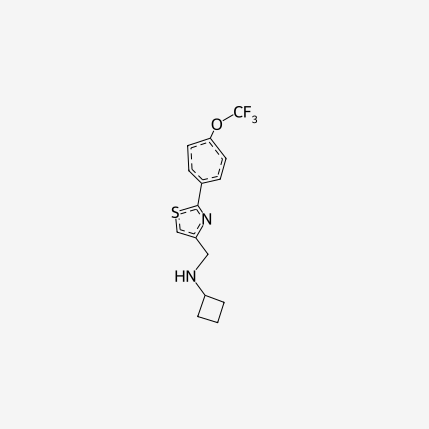 FC(F)(F)Oc1ccc(-c2nc(CNC3CCC3)cs2)cc1